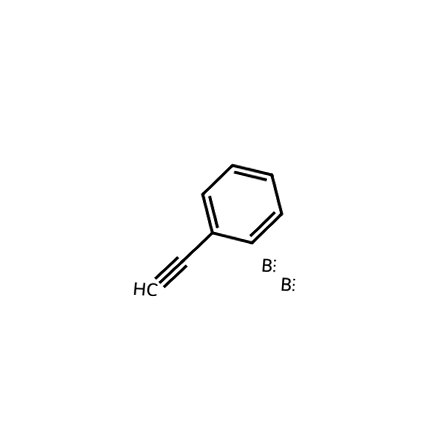 C#Cc1ccccc1.[B].[B]